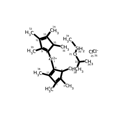 CC1=C(C)C(C)[C]([Zr+2][C]2=C(C)C(C)=C(C)C2C)=C1C.C[SiH2]OC(C)C.[Cl-].[Cl-]